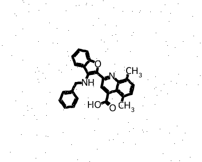 Cc1ccc(C)c2c(C(=O)O)cc(-c3oc4ccccc4c3NCc3ccccc3)nc12